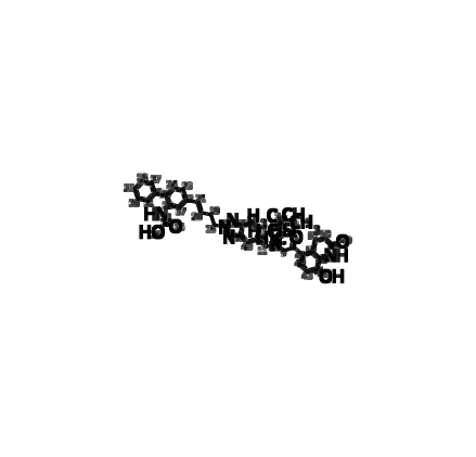 CC(C)(C)[Si](C)(C)OC(CNCc1ccc2nn(CC/C=C/c3ccc(-c4ccccc4)c(NC(=O)O)c3)nc2c1)c1ccc(O)c2[nH]c(=O)ccc12